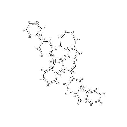 C1=CCc2c(sc3cc(-c4ccc5oc6ccccc6c5c4)c4c5ccccc5n(-c5ccc(-c6ccccc6)cc5)c4c23)C=C1